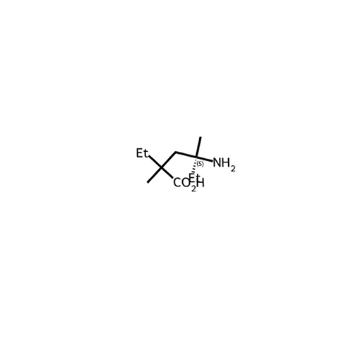 CCC(C)(C[C@@](C)(N)CC)C(=O)O